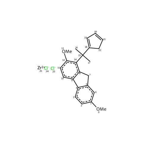 COc1ccc2c(c1)Cc1c-2ccc(OC)c1C(C)(C)C1=CC=CC1.[Cl-].[Cl-].[Zr+2]